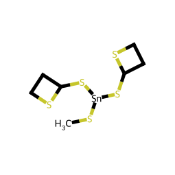 C[S][Sn]([S]C1CCS1)[S]C1CCS1